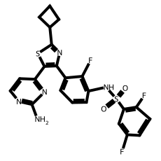 Nc1nccc(-c2sc(C3CCC3)nc2-c2cccc(NS(=O)(=O)c3cc(F)ccc3F)c2F)n1